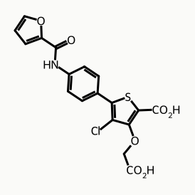 O=C(O)COc1c(C(=O)O)sc(-c2ccc(NC(=O)c3ccco3)cc2)c1Cl